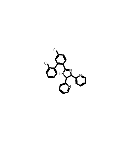 Clc1ccc(C2=NC(c3ccccn3)C(c3ccccn3)N2)c(-c2ccccc2Cl)c1